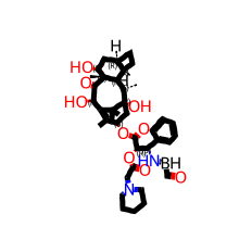 CC1=C2[C@@H](O)C(=O)[C@@]3(C)[C@H]([C@H](C)[C@](O)(C[C@@H]1OC(=O)[C@H](OC(=O)CN1CCCCC1)[C@@H](NBC=O)c1ccccc1)C2(C)C)[C@]1(C)CC[C@@H]1C[C@@H]3O